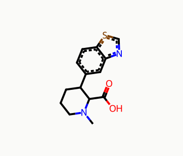 CN1CCCC(c2ccc3scnc3c2)C1C(=O)O